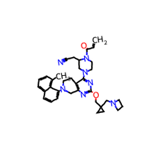 C=CC(=O)N1CCN(c2nc(OCC3(CN4CCC4)CC3)nc3c2CCN(c2cccc4cccc(C)c24)C3)CC1CC#N